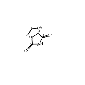 CCO.O=C1CSC(=S)N1